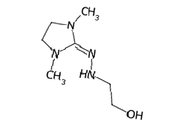 CN1CCN(C)C1=NNCCO